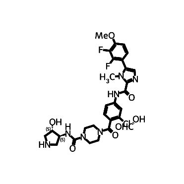 COc1ccc(-c2cnc(C(=O)Nc3ccc(C(=O)N4CCN(C(=O)N[C@H]5CNC[C@@H]5O)CC4)c(Cl)c3)n2C)c(F)c1F.O=CO